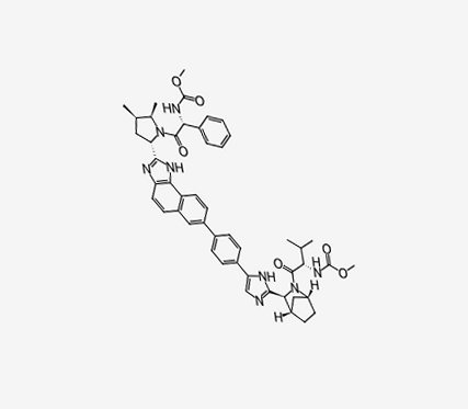 COC(=O)N[C@H](C(=O)N1[C@@H]2CC[C@@H](C2)[C@H]1c1ncc(-c2ccc(-c3ccc4c(ccc5nc([C@@H]6C[C@@H](C)[C@@H](C)N6C(=O)[C@H](NC(=O)OC)c6ccccc6)[nH]c54)c3)cc2)[nH]1)C(C)C